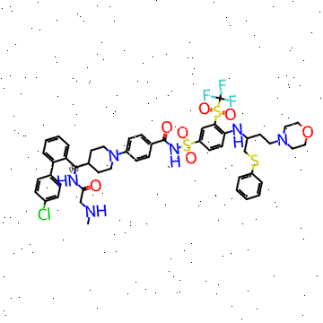 CNCC(=O)N[C@@H](c1ccccc1-c1ccc(Cl)cc1)C1CCN(c2ccc(C(=O)NS(=O)(=O)c3ccc(NC(CCN4CCOCC4)CSc4ccccc4)c(S(=O)(=O)C(F)(F)F)c3)cc2)CC1